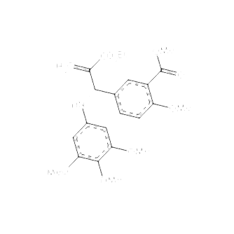 C=C(C(=O)OCC)[C@@H](Nc1cc(OC)c(OC)c(OC)c1)c1ccc(OC)c(C(=O)OC)c1